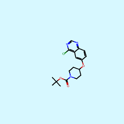 CC(C)(C)OC(=O)N1CCC(Oc2ccc3ncnc(Cl)c3c2)CC1